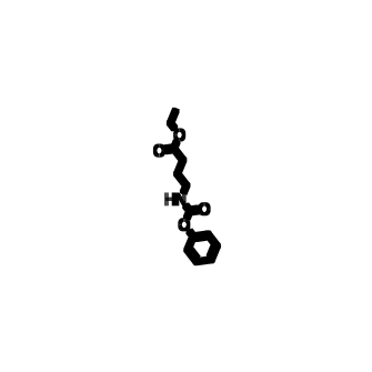 CCOC(=O)CCCNC(=O)Oc1ccccc1